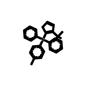 Cc1ccc([Si](C2=C(C(C)(C)C)C=CC2)(c2ccccc2)c2ccccc2)cc1